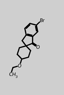 CCOC1CCC2(CC1)Cc1ccc(Br)cc1C2=O